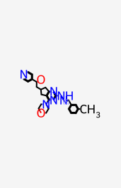 Cc1cccc(/C=N/Nc2nc3c(c(N4CCOCC4)n2)CC(CC(=O)c2ccncc2)C3)c1